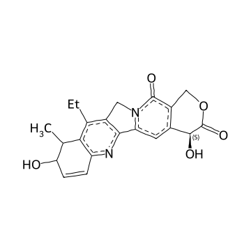 CCc1c2c(nc3c1C(C)C(O)C=C3)-c1cc3c(c(=O)n1C2)COC(=O)[C@H]3O